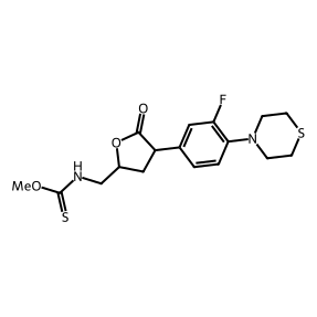 COC(=S)NCC1CC(c2ccc(N3CCSCC3)c(F)c2)C(=O)O1